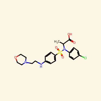 CC(C(=O)O)N(c1ccc(Cl)cc1)S(=O)(=O)c1ccc(NCCN2CCOCC2)cc1